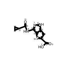 O=C(O)c1cc2[nH]nc(NC(=O)C3CC3)c2s1